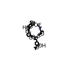 CCC1/C=C(\C)C(F)C(C)CC(OC)C2OC(O)(C(=O)C(=O)N3CCCCC3C(=O)OC(C(C)=CC3CCC(OC(C)C)C(O)C3)C(C)CCC1=O)C(C)CC2OC